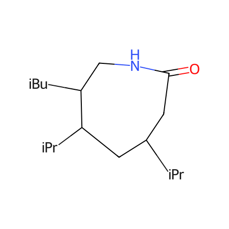 CCC(C)C1CNC(=O)CC(C(C)C)CC1C(C)C